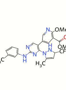 COC(=O)c1cc(-c2cnc(Nc3cccc(C)c3)nc2N2NC(C(F)(F)F)C=C2C)cnc1OC